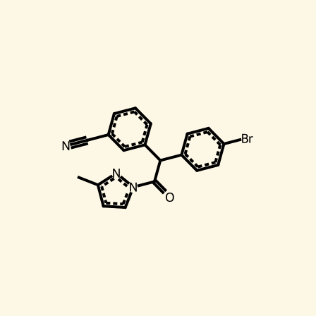 Cc1ccn(C(=O)C(c2ccc(Br)cc2)c2cccc(C#N)c2)n1